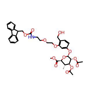 COC(=O)[C@H]1O[C@@H](Oc2ccc(CO)c(OCCOCCNC(=O)OCC3c4ccccc4-c4ccccc43)c2)[C@H](OC(C)=O)[C@@H](OC(C)=O)[C@@H]1C